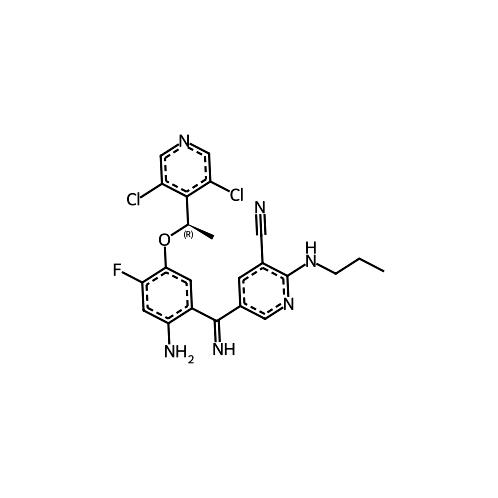 CCCNc1ncc(C(=N)c2cc(O[C@H](C)c3c(Cl)cncc3Cl)c(F)cc2N)cc1C#N